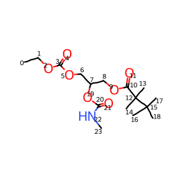 CCOC(=O)OCC(COC(=O)C(C)(C)C(C)(C)C)OC(=O)NC